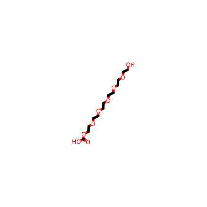 O=C(O)OCCOCCOCCOCCOCCOCCO